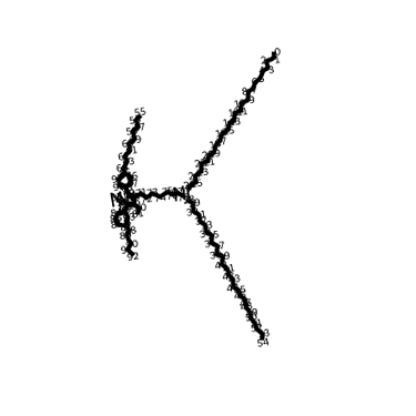 CCCCCCCCCCCCCCCCCCCCCCCCCC[CH2][Ni][CH2]CCCCCCCCCCCCCCCCCCCCCCCCCC.CCCCCCCCCCc1ccc(C2=C(CCCCCCCC)C(CC)=C(c3cccc(CCCCC)c3)[N+]2=[N-])cc1